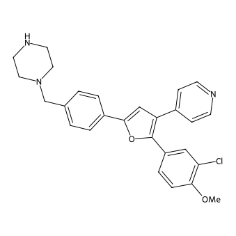 COc1ccc(-c2oc(-c3ccc(CN4CCNCC4)cc3)cc2-c2ccncc2)cc1Cl